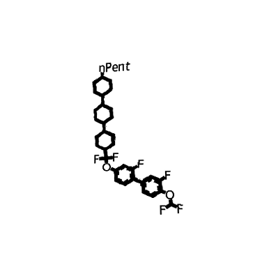 CCCCCC1CCC(C2CCC(C3CCC(C(F)(F)Oc4ccc(-c5ccc(OC(F)F)c(F)c5)c(F)c4)CC3)CC2)CC1